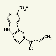 C=CCN(CC)c1ccc2[nH]c3cnc(C(=O)OCC)cc3c2c1